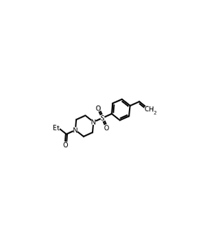 C=Cc1ccc(S(=O)(=O)N2CCN(C(=O)CC)CC2)cc1